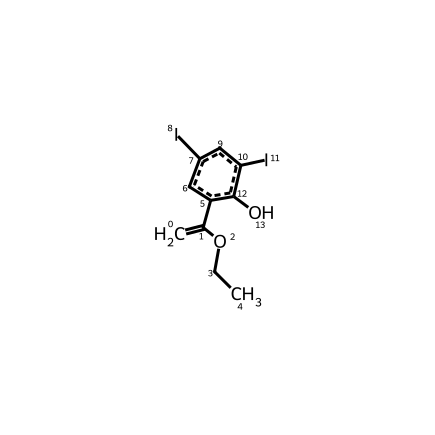 C=C(OCC)c1cc(I)cc(I)c1O